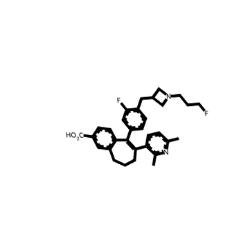 Cc1ccc(C2=C(c3ccc(CC4CN(CCCF)C4)c(F)c3)c3ccc(C(=O)O)cc3CCC2)c(C)n1